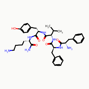 CC(C)[C@H](NC(=O)[C@H](Cc1ccccc1)NC(=O)[C@@H](N)Cc1ccccc1)C(=O)N[C@@H](Cc1ccc(O)cc1)C(=O)N[C@@H](CCCCN)C(N)=O